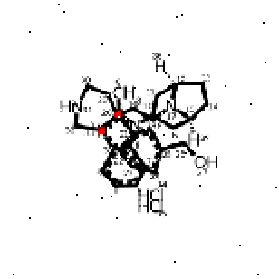 Cc1nc2ccccc2n1C1C[C@H]2CC[C@@H](C1)N2CCC1(c2cccc(CO)c2)CCNCC1.Cl.Cl